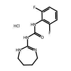 Cl.O=C(NC1=NCCCCN1)Nc1c(F)cccc1F